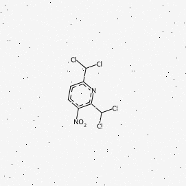 O=[N+]([O-])c1ccc(C(Cl)Cl)nc1C(Cl)Cl